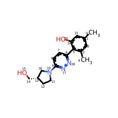 Cc1cc(C)c(-c2ccc(N3CC[C@H](CO)C3)nn2)c(O)c1